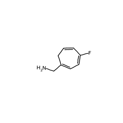 NCC1=CC=C(F)C=CC1